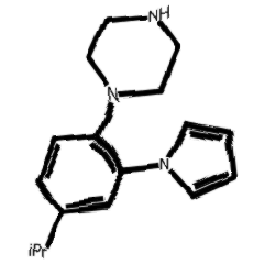 CC(C)c1ccc(N2CCNCC2)c(-n2cccc2)c1